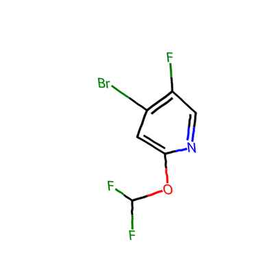 Fc1cnc(OC(F)F)cc1Br